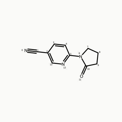 N#Cc1ccc(N2CCCC2=O)nc1